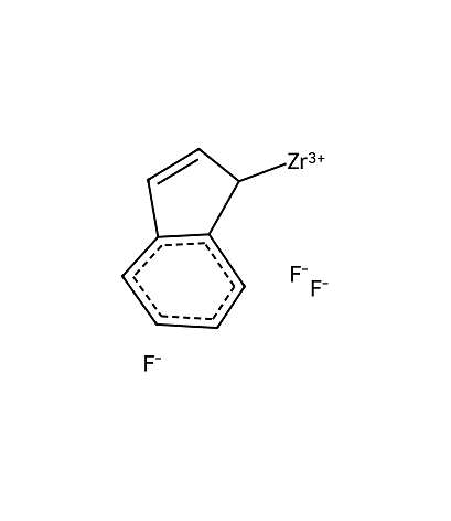 [F-].[F-].[F-].[Zr+3][CH]1C=Cc2ccccc21